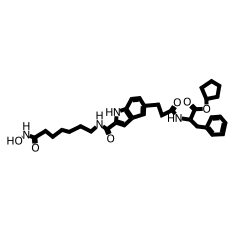 O=C(CCCCCCNC(=O)c1cc2cc(CCC(=O)NC(Cc3ccccc3)C(=O)OC3CCCC3)ccc2[nH]1)NO